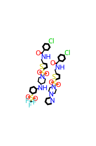 O=C(NCc1ccc(S(=O)(=O)N2CCC(Nc3cccc(S(=O)(=O)C(F)(F)F)c3)CC2)s1)c1ccc(Cl)cc1.O=C(NCc1ccc(S(=O)(=O)N2CCN(c3ccccn3)CC2)s1)c1ccc(Cl)cc1